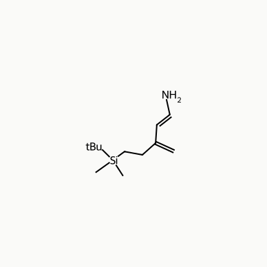 C=C(C=CN)CC[Si](C)(C)C(C)(C)C